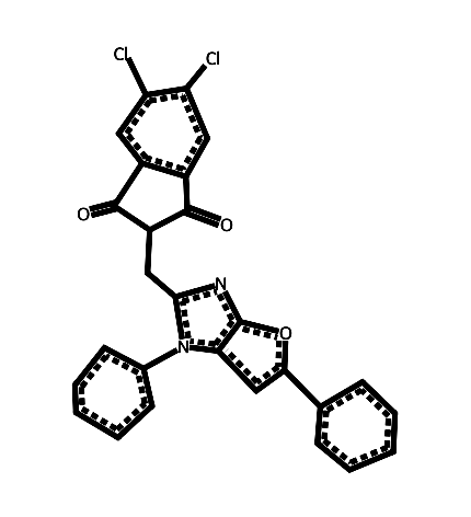 O=C1c2cc(Cl)c(Cl)cc2C(=O)C1Cc1nc2oc(-c3ccccc3)cc2n1-c1ccccc1